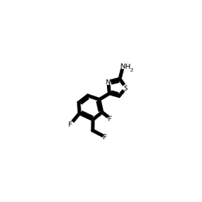 Nc1nc(-c2ccc(F)c(CF)c2F)cs1